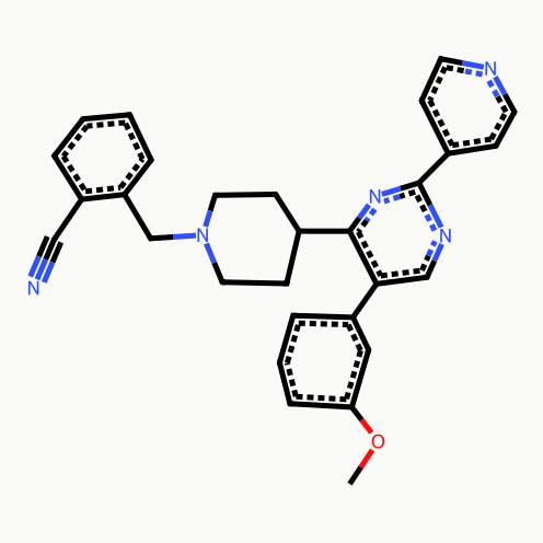 COc1cccc(-c2cnc(-c3ccncc3)nc2C2CCN(Cc3ccccc3C#N)CC2)c1